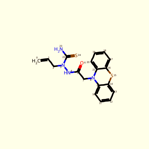 C=CCN(NC(=O)CN1c2ccccc2Sc2ccccc21)C(N)=S